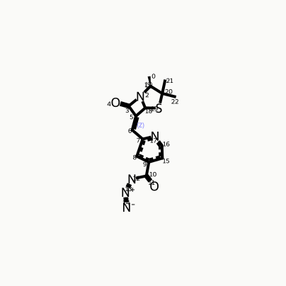 C[C@@H]1N2C(=O)/C(=C/c3cc(C(=O)N=[N+]=[N-])ccn3)C2SC1(C)C